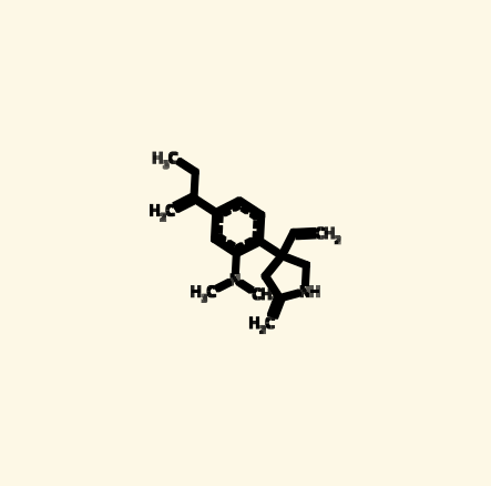 C=CC1(c2ccc(C(=C)CC)cc2N(C)C)CNC(=C)C1